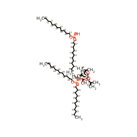 C=C(C)C[O][Ti](=[O])([CH2]C(=C)C)([CH2]C(=C)C)[O]C(C)C.CCCCCCCCCCCCOP(O)OCCCCCCCCCCCC.CCCCCCCCCCCCOP(O)OCCCCCCCCCCCC